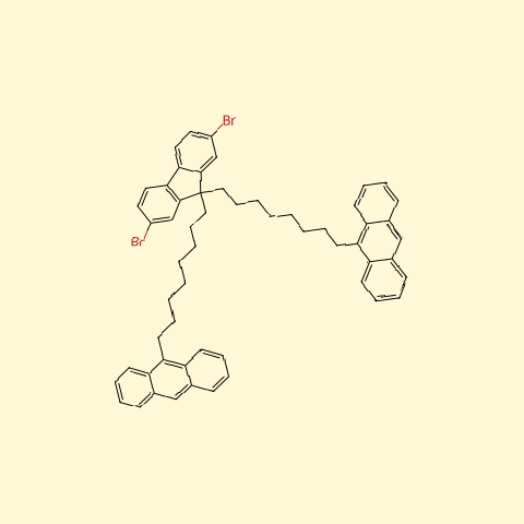 Brc1ccc2c(c1)C(CCCCCCCCc1c3ccccc3cc3ccccc13)(CCCCCCCCc1c3ccccc3cc3ccccc13)c1cc(Br)ccc1-2